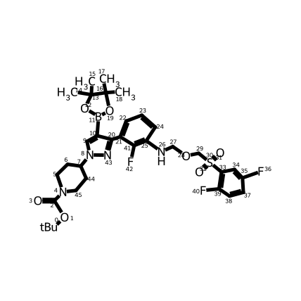 CC(C)(C)OC(=O)N1CCC(n2cc(B3OC(C)(C)C(C)(C)O3)c(-c3cccc(NCOCS(=O)(=O)c4cc(F)ccc4F)c3F)n2)CC1